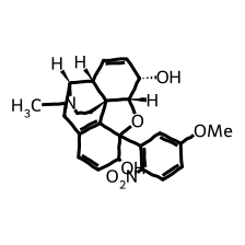 COc1ccc([N+](=O)[O-])c(C23O[C@H]4[C@@H](O)C=C[C@H]5[C@H]6CC(=C2[C@]54CCN6C)C=CC3O)c1